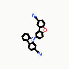 N#Cc1ccc2oc3ccc(-n4c5ccccc5c5ccc(C#N)cc54)cc3c2c1